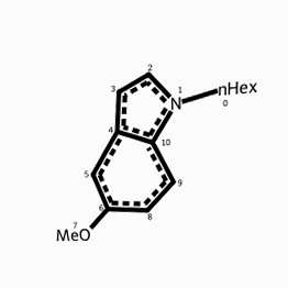 CCCCCCn1ccc2cc(OC)ccc21